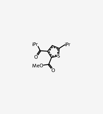 COC(=O)c1sc(C(C)C)cc1C(=O)C(C)C